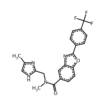 Cc1c[nH]c(CN(C)C(=O)c2ccc3oc(-c4ccc(C(F)(F)F)cc4)nc3c2)n1